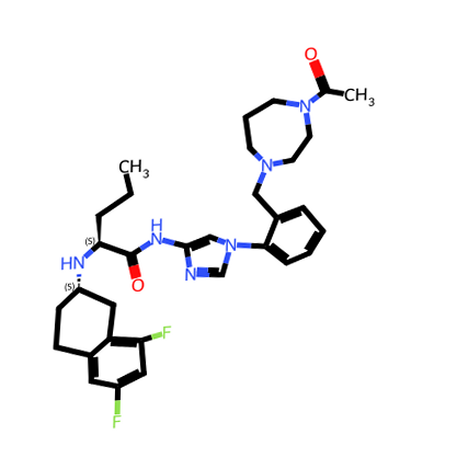 CCC[C@H](N[C@H]1CCc2cc(F)cc(F)c2C1)C(=O)Nc1cn(-c2ccccc2CN2CCCN(C(C)=O)CC2)cn1